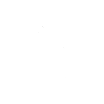 Cc1nnc(Cl)c2cc(N3CCNCC3)ncc12